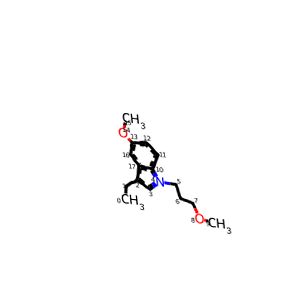 CCc1cn(CCCOC)c2ccc(OC)cc12